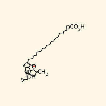 C=C1CC[C@@]2(O)C3Cc4ccc(CCCCCCCCCCCCCCCCCCOC(=O)O)c5c4[C@@]2(CCN3CC2CC2)[C@H]1O5